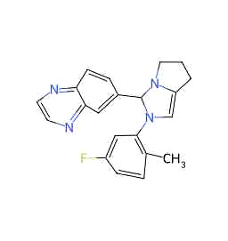 Cc1ccc(F)cc1N1C=C2CCCN2C1c1ccc2nccnc2c1